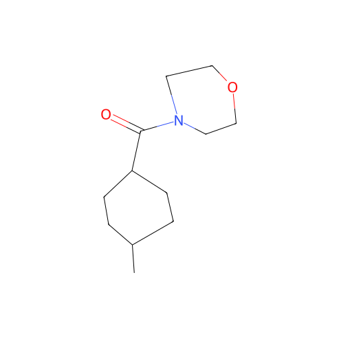 CC1CCC(C(=O)N2CCOCC2)CC1